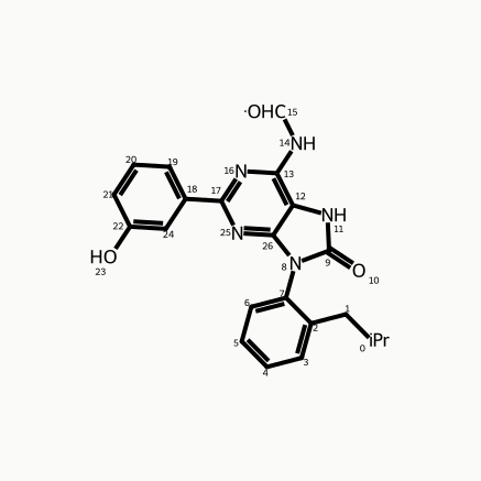 CC(C)Cc1ccccc1-n1c(=O)[nH]c2c(N[C]=O)nc(-c3cccc(O)c3)nc21